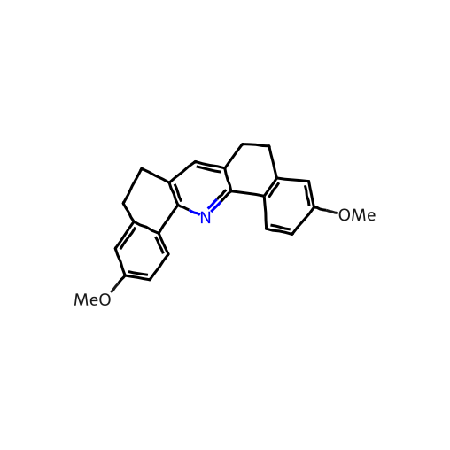 COc1ccc2c(c1)CCc1cc3c(nc1-2)-c1ccc(OC)cc1CC3